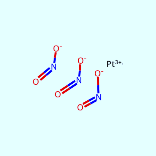 O=N[O-].O=N[O-].O=N[O-].[Pt+3]